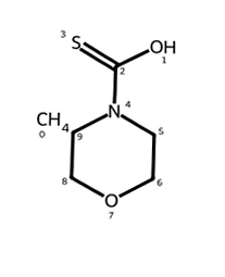 C.OC(=S)N1CCOCC1